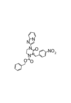 O=C1[C@@H](Cc2ccc([N+](=O)[O-])cc2)N(C(=O)OCc2ccccc2)CCN1c1cn2ccccc2n1